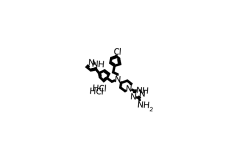 Cl.Cl.Nc1n[nH]c(N2CCC(N(CCc3ccc(Cl)cc3)Cc3ccc(-c4ccn[nH]4)cc3)CC2)n1